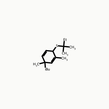 CCC(C)C1(C)C=CC(SC(C)(C)CC)C(C)=C1